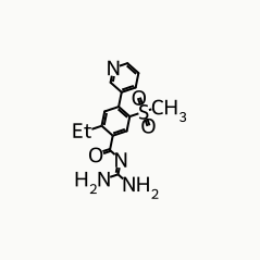 CCc1cc(-c2cccnc2)c(S(C)(=O)=O)cc1C(=O)N=C(N)N